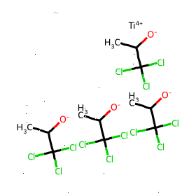 CC([O-])C(Cl)(Cl)Cl.CC([O-])C(Cl)(Cl)Cl.CC([O-])C(Cl)(Cl)Cl.CC([O-])C(Cl)(Cl)Cl.[Ti+4]